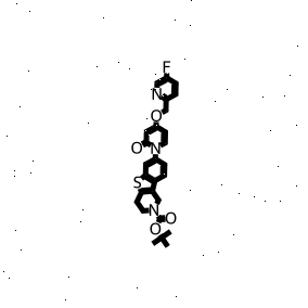 CC(C)(C)OC(=O)N1CCc2sc3cc(-n4ccc(OCc5ccc(F)cn5)cc4=O)ccc3c2C1